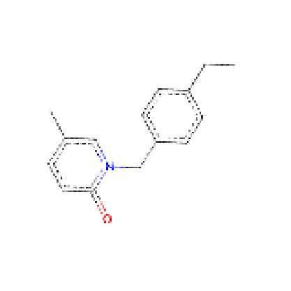 CCc1ccc(Cn2cc(C)ccc2=O)cc1